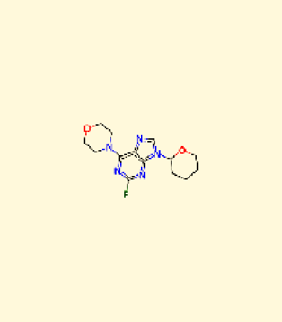 Fc1nc(N2CCOCC2)c2ncn(C3CCCCO3)c2n1